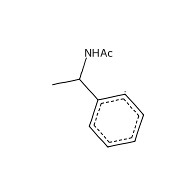 CC(=O)NC(C)c1[c]cccc1